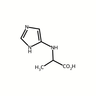 CC(Nc1cnc[nH]1)C(=O)O